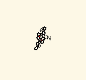 N#Cc1cccc(-c2ccccc2-n2c3ccccc3c3c4oc5ccccc5c4ccc32)c1-n1c2ccccc2c2c3oc4ccccc4c3ccc21